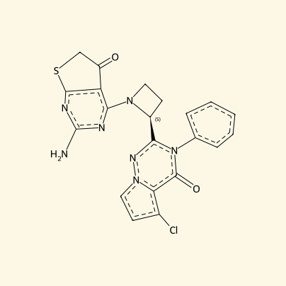 Nc1nc2c(c(N3CC[C@H]3c3nn4ccc(Cl)c4c(=O)n3-c3ccccc3)n1)C(=O)CS2